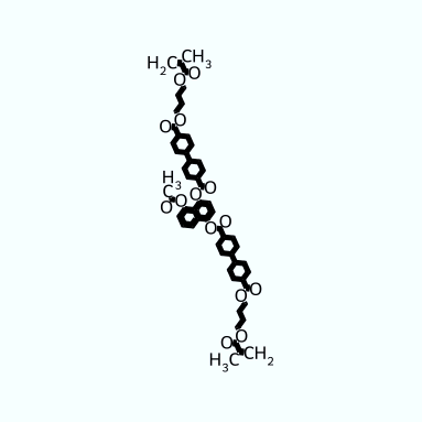 C=C(C)C(=O)OCCCCOC(=O)C1CCC(C2CCC(C(=O)Oc3ccc(OC(=O)C4CCC(C5CCC(C(=O)OCCCCOC(=O)C(=C)C)CC5)CC4)c4c(OC(C)=O)cccc34)CC2)CC1